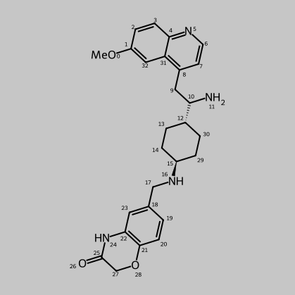 COc1ccc2nccc(CC(N)[C@H]3CC[C@H](NCc4ccc5c(c4)NC(=O)CO5)CC3)c2c1